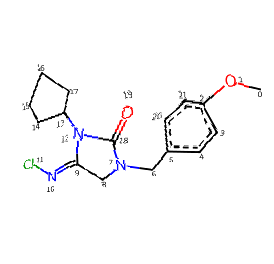 COc1ccc(CN2C/C(=N/Cl)N(C3CCCC3)C2=O)cc1